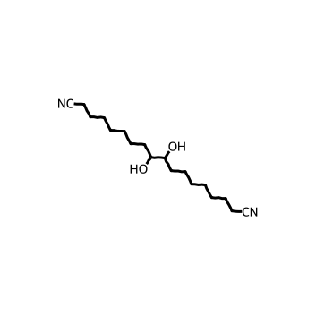 N#CCCCCCCCC(O)C(O)CCCCCCCC#N